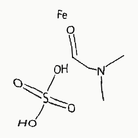 CN(C)C=O.O=S(=O)(O)O.[Fe]